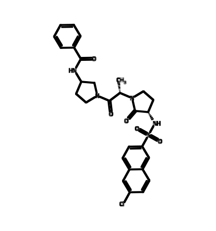 C[C@@H](C(=O)N1CCC(NC(=O)c2ccccc2)C1)N1CC[C@H](NS(=O)(=O)c2ccc3cc(Cl)ccc3c2)C1=O